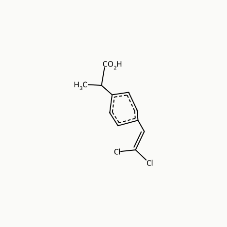 CC(C(=O)O)c1ccc(C=C(Cl)Cl)cc1